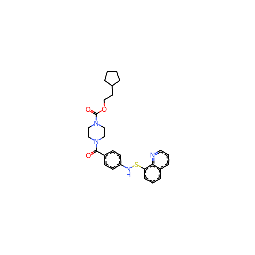 O=C(OCCC1CCCC1)N1CCN(C(=O)c2ccc(NSc3cccc4cccnc34)cc2)CC1